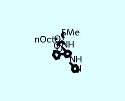 CCCCCCCCOC(=O)[C@H](CCSC)NC(=O)c1ccc(NCc2cccnc2)cc1-c1ccccc1